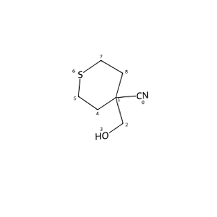 N#CC1(CO)CCSCC1